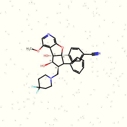 COc1cncc2c1[C@]1(O)[C@H](O)[C@H](CN3CCC(F)(F)CC3)C(c3ccccc3)[C@]1(c1ccc(C#N)cc1)O2